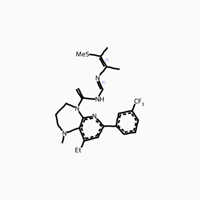 C=C(N/C=N/C(C)=C(/C)SC)N1CCCN(C)c2c(CC)cc(-c3cccc(C(F)(F)F)c3)nc21